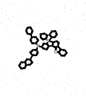 c1ccc(-c2ccc(N(c3ccc(-c4ccc5ccccc5c4)cc3)c3ccc4c(c3)[Si](c3ccccc3)(c3ccccc3)c3ccc5c(oc6ccccc65)c3-4)cc2)cc1